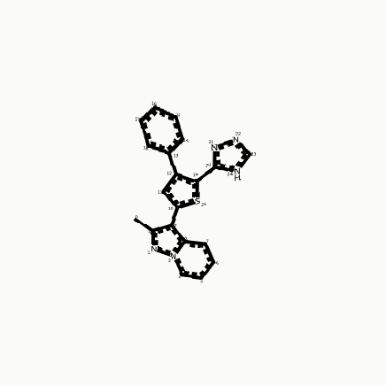 Cc1nn2ccccc2c1-c1cc(-c2ccccc2)c(-c2nnc[nH]2)s1